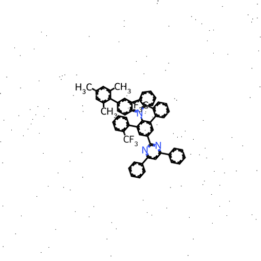 Cc1cc(C)c(-c2ccc3c(c2)c2ccccc2n3-c2c(-c3ccccc3C(F)(F)F)cc(-c3nc(-c4ccccc4)cc(-c4ccccc4)n3)cc2-c2ccccc2C(F)(F)F)c(C)c1